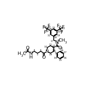 CC(=O)NCCCC(=O)N1CC[C@@H](C(=O)N(C)Cc2cc(C(F)(F)F)cc(C(F)(F)F)c2)[C@H](c2ccccc2)C1